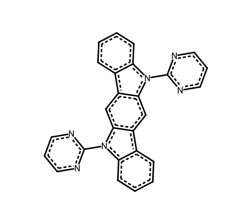 c1cnc(-n2c3ccccc3c3cc4c(cc32)c2ccccc2n4-c2ncccn2)nc1